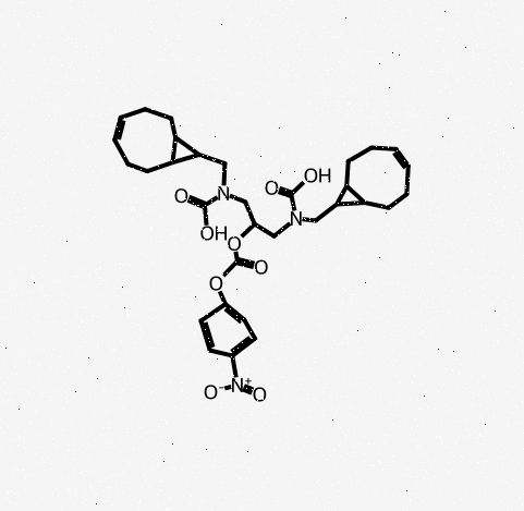 O=C(Oc1ccc([N+](=O)[O-])cc1)OC(CN(CC1C2CCC=CCCC21)C(=O)O)CN(CC1C2CCC=CCCC21)C(=O)O